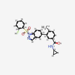 Cc1ccc(C(=O)NC2CC2)cc1-c1ccc2c(cnn2S(=O)(=O)c2ccccc2F)c1